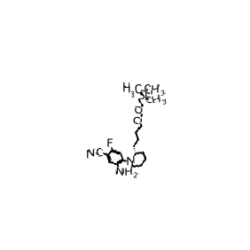 C[Si](C)(C)CCOCOCCCC[C@@H]1CCCCN1c1cc(F)c(C#N)cc1N